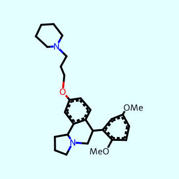 COc1ccc(OC)c(C2CN3CCCC3c3cc(OCCCN4CCCCC4)ccc32)c1